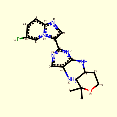 CC1(C)CC(Nc2nc(-c3cnc4ccc(F)cn34)ncc2N)CCO1